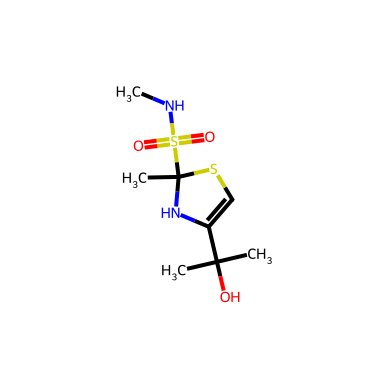 CNS(=O)(=O)C1(C)NC(C(C)(C)O)=CS1